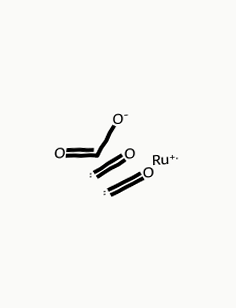 O=C[O-].[C]=O.[C]=O.[Ru+]